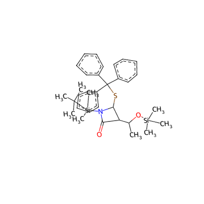 CC(O[Si](C)(C)C)C1C(=O)N([Si](C)(C)C(C)(C)C)C1SC(c1ccccc1)(c1ccccc1)c1ccccc1